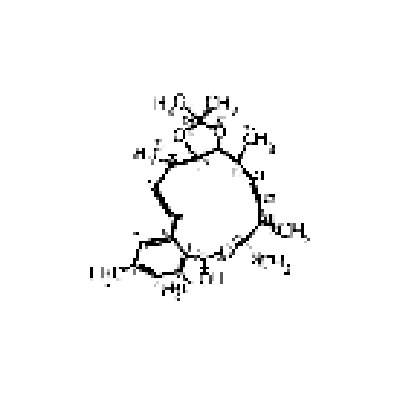 Cc1cc(C)c2c(c1)/C=C/C(C)C1OC(C)(C)OC1C(C)/C=C\[C@@H](C)[C@H](C)OC2O